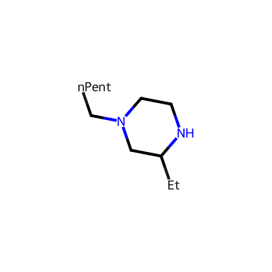 [CH2]CC1CN(CCCCCC)CCN1